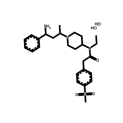 CCN(C(=O)Cc1ccc(S(C)(=O)=O)cc1)C1CCN(C(C)CC(N)c2ccccc2)CC1.Cl.Cl